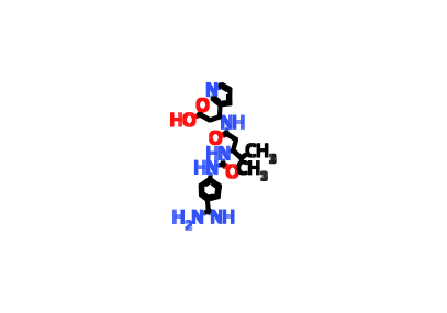 CC(C)C(CC(=O)NC(CC(=O)O)c1cccnc1)NC(=O)Nc1ccc(C(=N)N)cc1